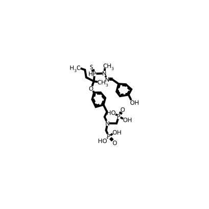 CCCC(C)(Oc1ccc(CCN(CP(=O)(O)O)CP(=O)(O)O)cc1)[PH](=S)N(C)N=Cc1ccc(O)cc1